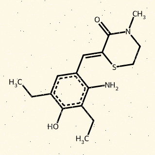 CCc1cc(C=C2SCCN(C)C2=O)c(N)c(CC)c1O